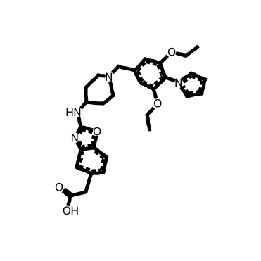 CCOc1cc(CN2CCC(Nc3nc4cc(CC(=O)O)ccc4o3)CC2)cc(OCC)c1-n1cccc1